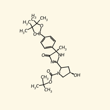 CC(C)(C)OC(=O)N1C[C@H](O)CC1C1=NC(=O)[C@](C)(c2ccc(B3OC(C)(C)C(C)(C)O3)cc2)N1